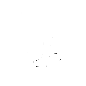 CCOC(=O)c1ccc(N2C(=O)[C@@H]3[C@@H]([C@@H]4C=C[C@H]3C4)S2(=O)=O)cc1